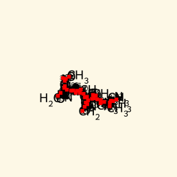 C=CC(=O)N1CCN(c2nc(OC[C@@H]3CC(c4ccc(N5CCc6c(nc(OC[C@@H]7CCCN7CCOC)nc6N6CCN(C(=O)C=C)C(CC#N)C6)C5)c5ccccc45)CN3C)nc3c2CCN(c2cc(C4C[C@@H](COc5nc(C)c(CC)c(N(CC)CCCC#N)n5)N(C)C4)cc(C)c2C(F)(F)F)C3)CC1CC#N